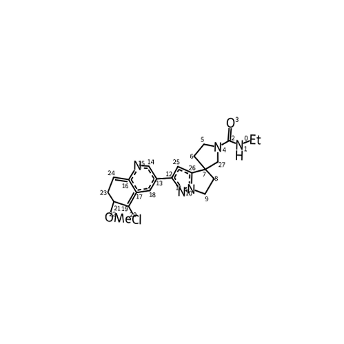 CCNC(=O)N1CCC2(CCn3nc(-c4cnc5c(c4)=C(Cl)C(OC)CC=5)cc32)C1